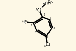 CC[CH]Oc1ccc(Cl)cc1F